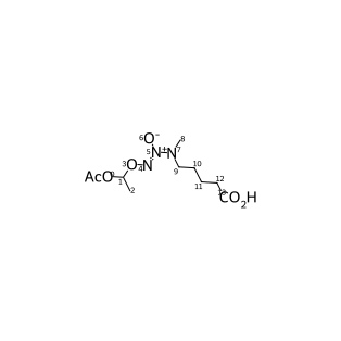 CC(=O)OC(C)ON=[N+]([O-])N(C)CCCCC(=O)O